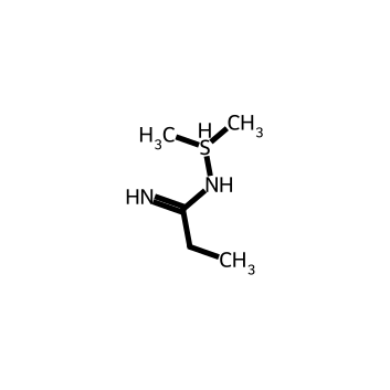 CCC(=N)N[SH](C)C